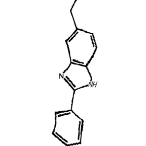 CC(C)Cc1ccc2[nH]c(-c3ccccc3)nc2c1